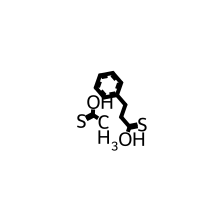 CC(O)=S.OC(=S)CCc1ccccc1